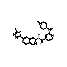 Cc1nnc(-c2ccc3cnc(NC(=O)c4ccnc(N(C)C5CCN(C)CC5)c4)cc3c2)s1